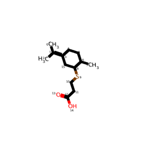 CC(C)=C1CCC(C)C(SCCC(=O)O)C1